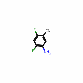 N#Cc1cc(N)c(F)cc1F